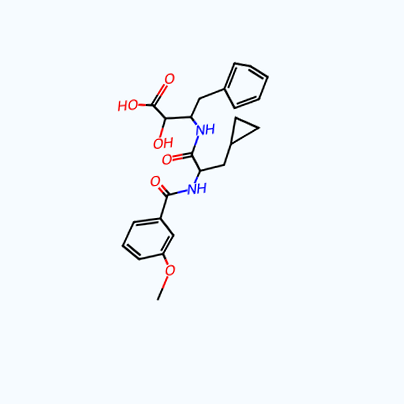 COc1cccc(C(=O)NC(CC2CC2)C(=O)NC(Cc2ccccc2)C(O)C(=O)O)c1